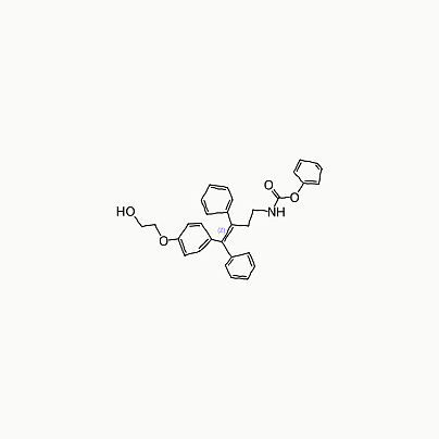 O=C(NCC/C(=C(\c1ccccc1)c1ccc(OCCO)cc1)c1ccccc1)Oc1ccccc1